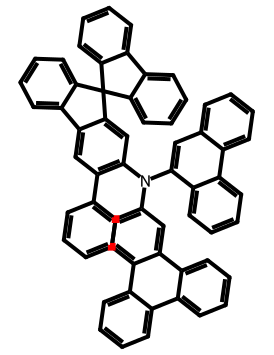 c1ccc(-c2cc3c(cc2N(c2ccc4c5ccccc5c5ccccc5c4c2)c2cc4ccccc4c4ccccc24)C2(c4ccccc4-c4ccccc42)c2ccccc2-3)cc1